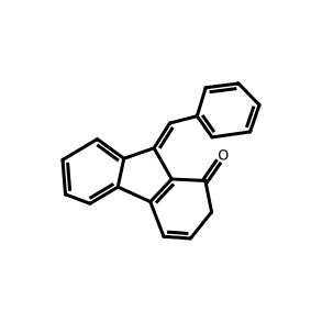 O=C1CC=CC2=C1C(=Cc1ccccc1)c1ccccc12